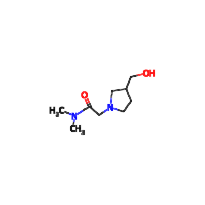 CN(C)C(=O)CN1CCC(CO)C1